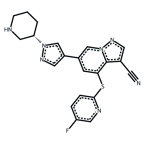 N#Cc1cnn2cc(-c3cnn([C@H]4CCCNC4)c3)cc(Sc3ccc(F)cn3)c12